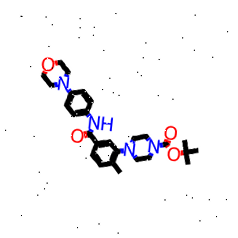 Cc1ccc(C(=O)Nc2ccc(N3CCOCC3)cc2)cc1N1CCN(C(=O)OC(C)(C)C)CC1